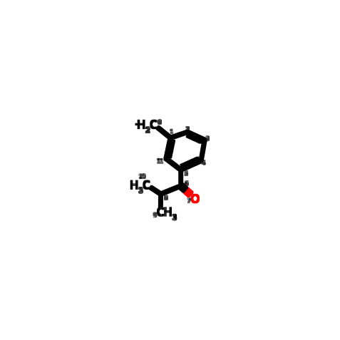 [CH2]c1cccc(C(=O)C(C)C)c1